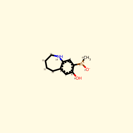 C[S+]([O-])c1cc2c(cc1O)CCCCN2